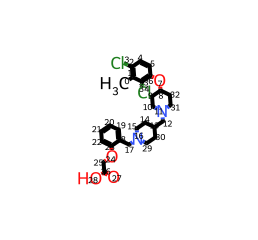 Cc1c(Cl)ccc(OC2CCN(CC3CCN(Cc4ccccc4OCC(=O)O)CC3)CC2)c1Cl